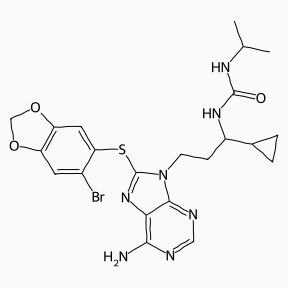 CC(C)NC(=O)NC(CCn1c(Sc2cc3c(cc2Br)OCO3)nc2c(N)ncnc21)C1CC1